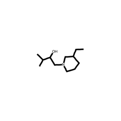 CCC1CCCN(CC(O)C(C)C)C1